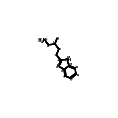 CC(CN)CCc1nc2ccccc2[nH]1